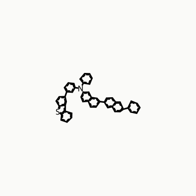 c1ccc(-c2ccc3cc(-c4ccc5ccc(N(c6ccccc6)c6cccc(-c7ccc8sc9ccccc9c8c7)c6)cc5c4)ccc3c2)cc1